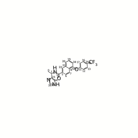 CC(NC(=O)c1ccc2c(Oc3ccc(C(F)(F)F)cc3)cccc2c1)c1c[nH]cn1